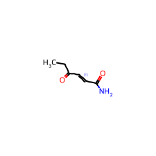 CCC(=O)/C=C/C(N)=O